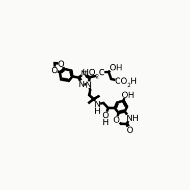 Cc1nc(-c2ccc3c(c2)OCO3)nn1CCC(C)(C)NCC(O)c1cc(O)cc2c1OCC(=O)N2.O=C(O)CC(O)C(=O)O